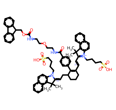 CC1(C)C(/C=C/C2=C(c3ccc(C(=O)NCCOCCNC(=O)OCC4c5ccccc5-c5ccccc54)cc3)C(C/C=C3\N(CCCCS(=O)(=O)O)c4ccc5ccccc5c4C3(C)C)CCC2)=[N+](CCCCS(=O)(=O)O)c2ccc3ccccc3c21